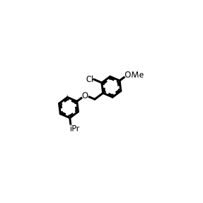 COc1ccc(COc2[c]ccc(C(C)C)c2)c(Cl)c1